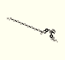 Cc1ncnc2c1c(-c1ccc3oc(N)nc3c1)nn2Cc1ccc2c(c1)CCN(C(=O)CCOCCOCCOCCOCCOCCOCCOCCOCCN)C2